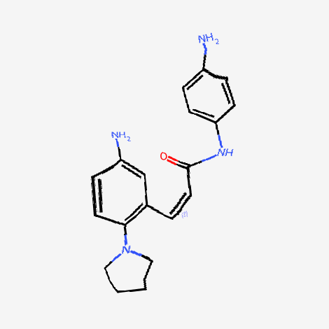 Nc1ccc(NC(=O)/C=C\c2cc(N)ccc2N2CCCC2)cc1